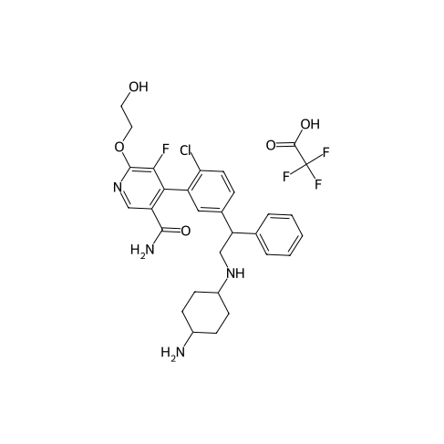 NC(=O)c1cnc(OCCO)c(F)c1-c1cc(C(CNC2CCC(N)CC2)c2ccccc2)ccc1Cl.O=C(O)C(F)(F)F